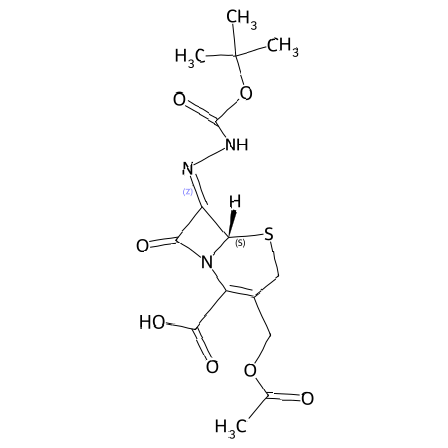 CC(=O)OCC1=C(C(=O)O)N2C(=O)/C(=N/NC(=O)OC(C)(C)C)[C@@H]2SC1